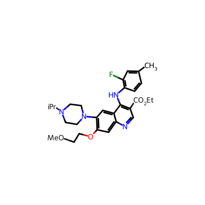 CCOC(=O)c1cnc2cc(OCCOC)c(N3CCN(C(C)C)CC3)cc2c1Nc1ccc(C)cc1F